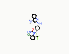 CN(C)c1cc(N[C@H]2CC[C@@H](CN(C(N)=O)c3c(Cl)cccc3C(F)(F)F)CC2)nc2ccccc12